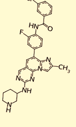 Cc1cn2c(n1)c(-c1ccc(NC(=O)c3cccc(Cl)c3)c(F)c1)cc1cnc(NC3CCCNC3)nc12